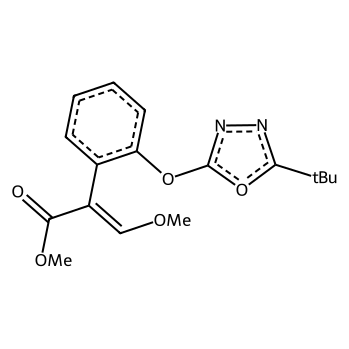 CO/C=C(/C(=O)OC)c1ccccc1Oc1nnc(C(C)(C)C)o1